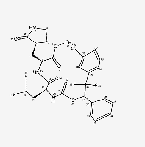 COC(=O)[C@H](C[C@@H]1CCNC1=O)NC(=O)[C@H](CC(F)F)NC(=O)OC(c1ccccc1)C(F)(F)c1cccc(Cl)c1